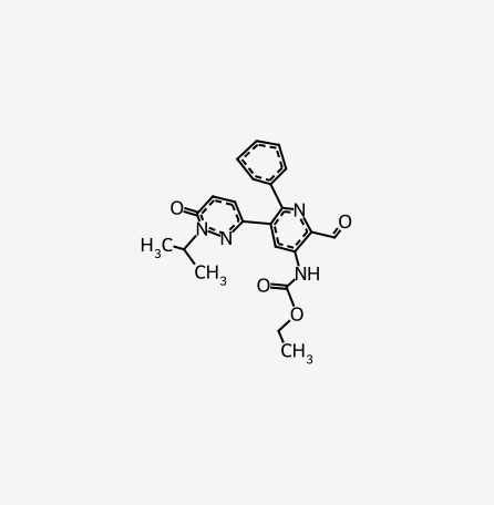 CCOC(=O)Nc1cc(-c2ccc(=O)n(C(C)C)n2)c(-c2ccccc2)nc1C=O